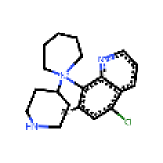 CC(=O)c1cc(Cl)c2cccnc2c1[N+]1(C2CCNCC2)CCCCC1